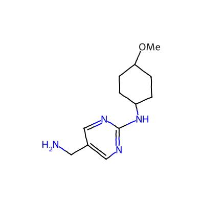 COC1CCC(Nc2ncc(CN)cn2)CC1